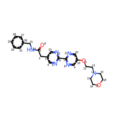 O=C(Cc1cnc(-c2ncc(OCCN3CCOCC3)cn2)nc1)NCc1ccccc1